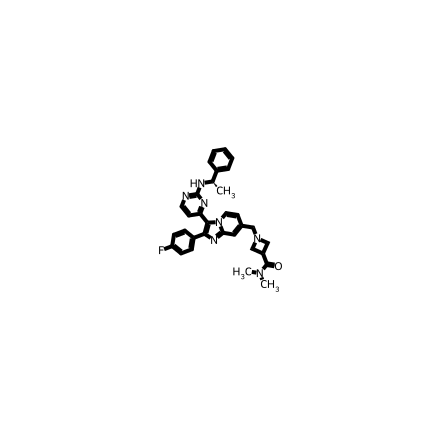 C[C@H](Nc1nccc(-c2c(-c3ccc(F)cc3)nc3cc(CN4CC(C(=O)N(C)C)C4)ccn23)n1)c1ccccc1